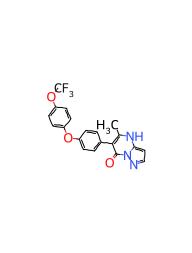 Cc1[nH]c2ccnn2c(=O)c1-c1ccc(Oc2ccc(OC(F)(F)F)cc2)cc1